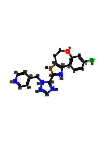 Brc1ccc2c(c1)OCCc1sc(-c3ncnn3Cc3ccncc3)nc1-2